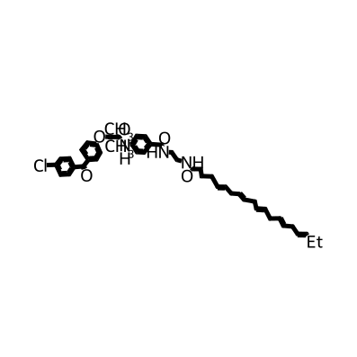 CCC=CCC=CCC=CCC=CCC=CCCCC(=O)NCCNC(=O)c1ccc(NC(=O)C(C)(C)Oc2ccc(C(=O)c3ccc(Cl)cc3)cc2)cc1